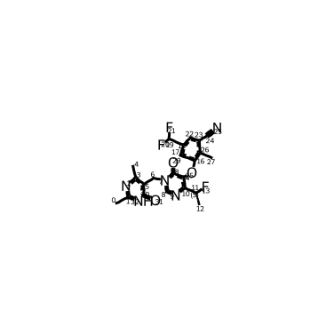 Cc1nc(C)c(Cn2cnc([C@H](C)F)c(Oc3cc(C(F)F)cc(C#N)c3C)c2=O)c(=O)[nH]1